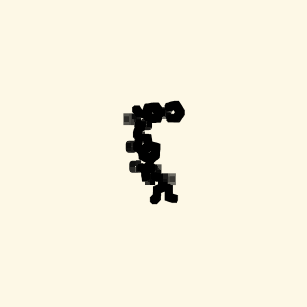 CCCC(CCC)Nc1ncc(Cl)c(-c2ccc3c(c2)C(=O)N(CC(=O)NC(C)c2ccc(N4CCCCC4)cc2)C3)n1